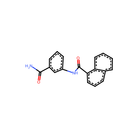 NC(=O)c1cccc(NC(=O)c2cccc3ccccc23)c1